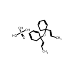 CC=CC1(OC2(C=CC)C=CC=CC2)C=CC=CC1.O=P(O)(O)O